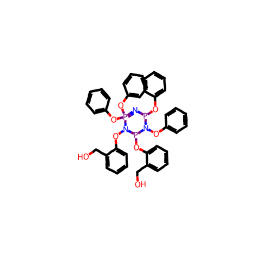 OCc1ccccc1ON1P(Oc2ccccc2CO)N(Oc2ccccc2)P(Oc2ccccc2)N=P1(Oc1ccccc1)Oc1ccccc1